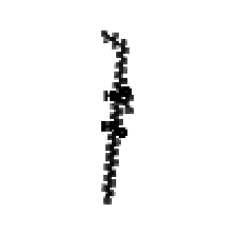 CCCC/C=C\CCCCCCCC(=O)N[C@@H](CCCCNC(=O)CCCCCCCCCCCCC)C(C)C